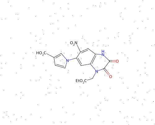 CCOC(=O)Cn1c(=O)c(=O)[nH]c2cc([N+](=O)[O-])c(-n3ccc(C(=O)O)c3)cc21